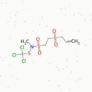 C=CCS(=O)(=O)CCS(=O)(=O)N(C)SC(Cl)(Cl)Cl